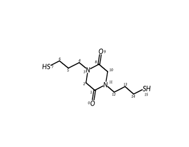 O=C1CN(CCCS)C(=O)CN1CCCS